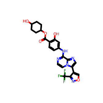 O=C(OC1CCC(O)CC1)c1ccc(Nc2nccn3c(-c4conc4C(F)(F)F)cnc23)cc1O